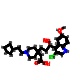 COc1ccc2ncc(Cl)c([C@@H](O)CCC3(CC(=O)O)CCN(CCC4CCCC4)CC3)c2c1